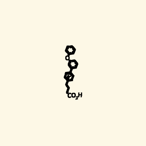 O=C(O)CCCC12CCC(c3cccc(Oc4ccccc4)c3)(CC1)OC2